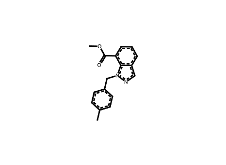 COC(=O)c1cccc2cnn(Cc3ccc(C)cc3)c12